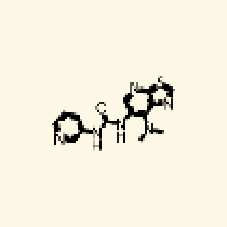 CN(C)c1c(NC(=O)Nc2cccnc2)cnc2scnc12